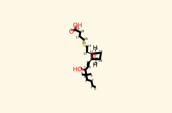 CCCCC(C)(C)C(O)/C=C/[C@H]1[C@@H](CCSCCCC(=O)O)[C@H]2CC[C@@H]1O2